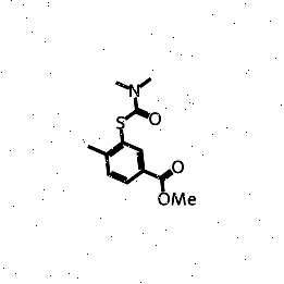 COC(=O)c1ccc(C)c(SC(=O)N(C)C)c1